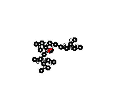 c1ccc(-n2c3ccccc3c3c4c5c6oc7ccccc7c6ccc5n5c6c(-c7ccc(-n8c9ccccc9c9c%10c%11c%12c(ccc%11n%11c%13ccc%14c%15ccccc%15n(-c%15ccccc%15)c%14c%13c(cc98)c%10%11)c8ccc(-c9ccc%10c(c9)oc9c%10ccc%10c9c9cc%11oc%13ccccc%13c%11c%11c%13c%14oc%15ccccc%15c%14ccc%13n%10c9%11)cc8n%12-c8ccccc8)cc7)cc7c8ccccc8oc7c6c(cc32)c45)cc1